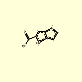 O=C(S)c1cc2occc2[nH]1